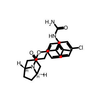 NC(=O)Nc1cc(Cl)ccc1OCC(=O)N1[C@@H]2CC[C@@H]1CC(Oc1ccc(F)cc1)C2